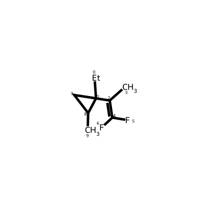 CCC1(C(C)=C(F)F)CC1C